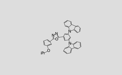 CC(C)Oc1cccc(-c2nnc(-c3cc(-n4c5ccccc5c5ccccc54)cc(-n4c5ccccc5c5ccccc54)c3)o2)c1